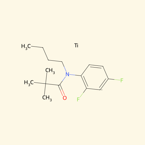 CCCCN(C(=O)C(C)(C)C)c1ccc(F)[c]c1F.[Ti]